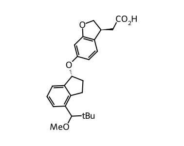 COC(c1cccc2c1CC[C@H]2Oc1ccc2c(c1)OC[C@H]2CC(=O)O)C(C)(C)C